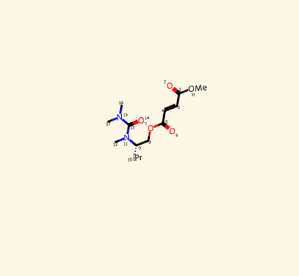 COC(=O)/C=C/C(=O)OC[C@H](C(C)C)N(C)C(=O)N(C)C